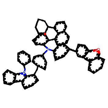 c1ccc(-n2c3ccccc3c3cccc(-c4ccc(N(c5ccc(-c6ccc7oc8ccccc8c7c6)cc5)c5ccccc5-c5cccc6cccc(C7CCCCC7)c56)cc4)c32)cc1